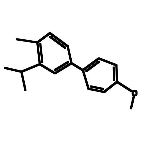 COc1ccc(-c2ccc(C)c(C(C)C)c2)cc1